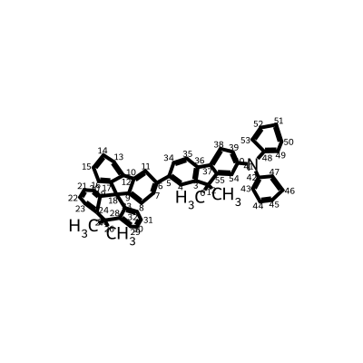 CC1(C)c2cc(-c3ccc4c(c3)-c3ccccc3C43c4ccccc4C(C)(C)c4ccccc43)ccc2-c2ccc(N(c3ccccc3)c3ccccc3)cc21